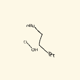 CCCCCCC(C)C.OCl